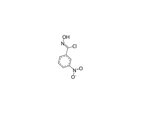 O=[N+]([O-])c1cccc(/C(Cl)=N/O)c1